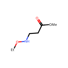 CCONCCC(=O)OC